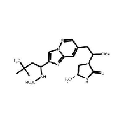 COC(Cc1cnn2cc(C(CC(C)(C)C(F)(F)F)NC(=O)O)nc2c1)N1C[C@@H](C(F)(F)F)NC1=O